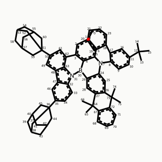 Cc1cc2c3c(c1)N(c1ccc(C(C)(C)C)cc1-c1ccccc1)c1cc4c(cc1B3n1c3ccc(C56CC7CC(CC(C7)C5)C6)cc3c3cc(C56CC7CC(CC(C7)C5)C6)cc-2c31)C(C)(C)c1ccccc1C4(C)C